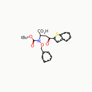 CC(C)(C)OC(=O)N(OCc1ccccc1)C(CC(=O)c1cc2ccccc2s1)C(=O)O